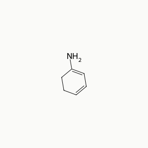 NC1=CC=CCC1